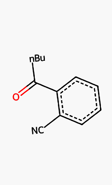 CCCCC(=O)c1ccccc1C#N